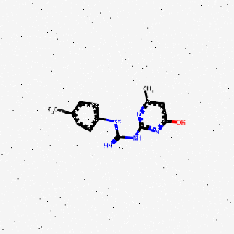 Cc1cc(O)nc(NC(=N)Nc2ccc(C(F)(F)F)cc2)n1